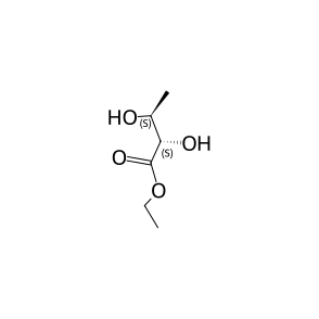 CCOC(=O)[C@@H](O)[C@H](C)O